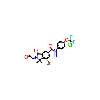 CC1(C)c2c(Br)cc(C(=O)Nc3ccc(OC(F)(F)Cl)cc3)cc2C(=O)N1CC=O